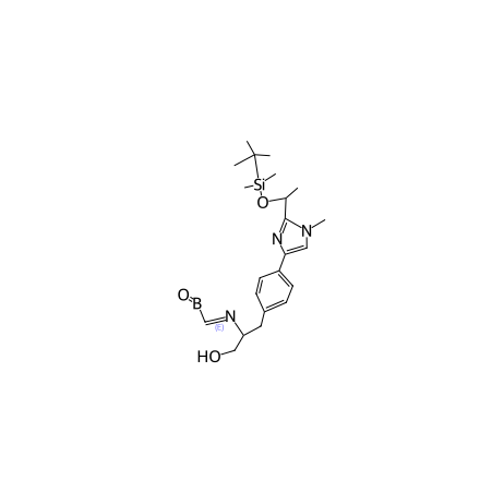 CC(O[Si](C)(C)C(C)(C)C)c1nc(-c2ccc(CC(CO)/N=C/B=O)cc2)cn1C